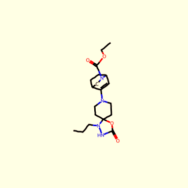 CCCN1NC(=O)OC12CCN(C1=CC3CCC1CN3C(=O)OCC)CC2